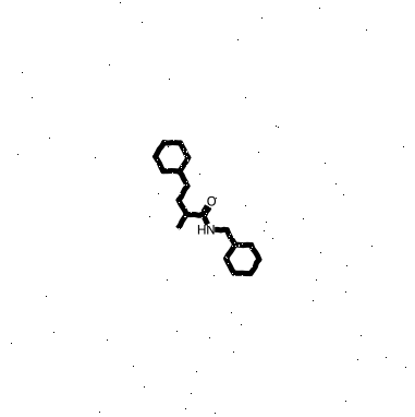 CC(CCC1CCCCC1)C(=O)NCC1CCCCC1